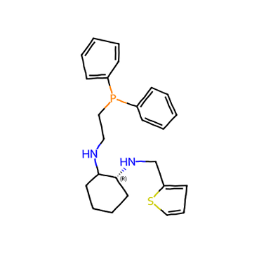 c1ccc(P(CCNC2CCCC[C@H]2NCc2cccs2)c2ccccc2)cc1